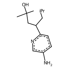 CC(C)CC(CC(C)(C)O)c1ccc(N)cn1